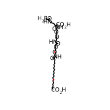 BCC(=O)NCCCC[C@H](NC(=O)COCCOCCNC(=O)COCCOCCNC(=O)CCCCCCCCCCCCCCCCCCC(=O)O)C(=O)O